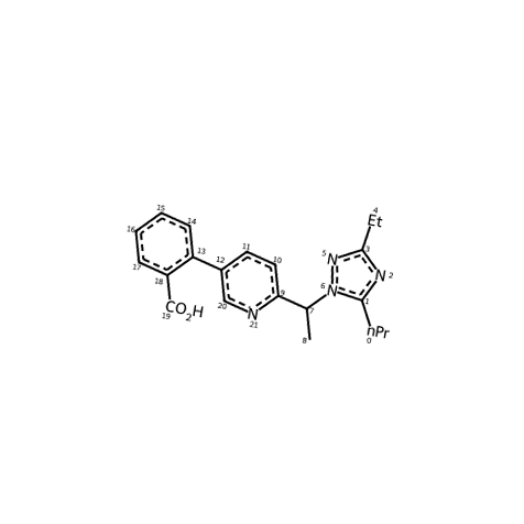 CCCc1nc(CC)nn1C(C)c1ccc(-c2ccccc2C(=O)O)cn1